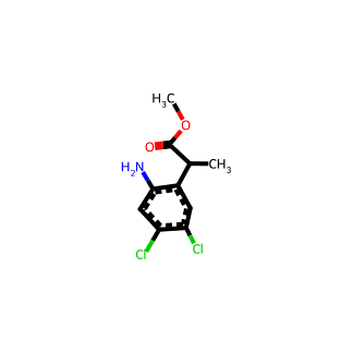 COC(=O)C(C)c1cc(Cl)c(Cl)cc1N